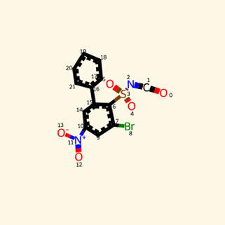 O=C=NS(=O)(=O)c1c(Br)cc([N+](=O)[O-])cc1-c1ccccc1